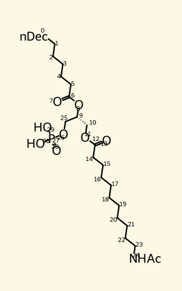 CCCCCCCCCCCCCCCC(=O)O[C@H](COC(=O)CCCCCCCCCCNC(C)=O)COP(=O)(O)O